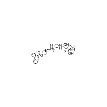 O=C(Nc1ccccc1-c1ccccc1)OC1CCN(CCNC(=O)[C@@H]2CC[C@H](NC[C@H](O)c3ccc(O)c4[nH]c(=O)ccc34)C2)CC1